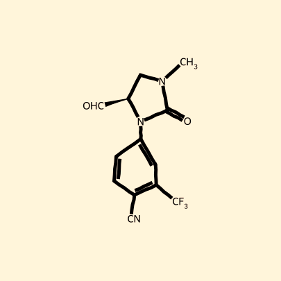 CN1C[C@H](C=O)N(c2ccc(C#N)c(C(F)(F)F)c2)C1=O